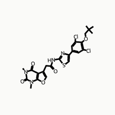 Cn1c(=O)c2c(CC(=O)Nc3nc(-c4cc(Cl)c(OCC(C)(C)C)c(Cl)c4)cs3)coc2n(C)c1=O